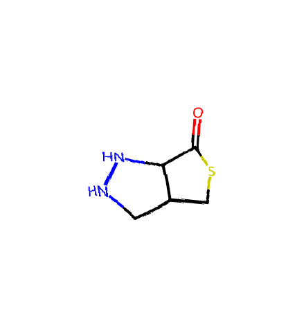 O=C1SCC2CNNC12